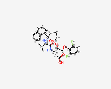 CC(C)[C@H](NC1(c2cccc3ccccc23)CCCCO1)C(=O)N[C@@H](CC(=O)O)C(=O)COc1c(F)cccc1F